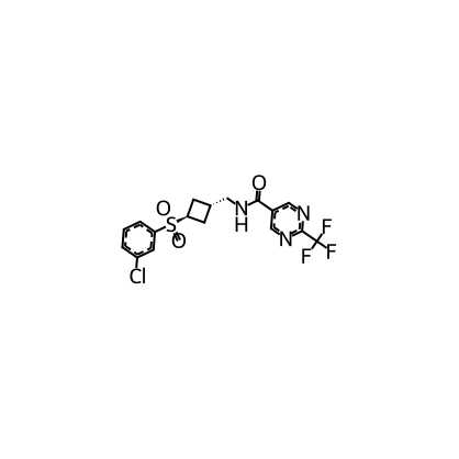 O=C(NC[C@H]1C[C@H](S(=O)(=O)c2cccc(Cl)c2)C1)c1cnc(C(F)(F)F)nc1